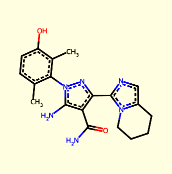 Cc1ccc(O)c(C)c1-n1nc(-c2ncc3n2CCCC3)c(C(N)=O)c1N